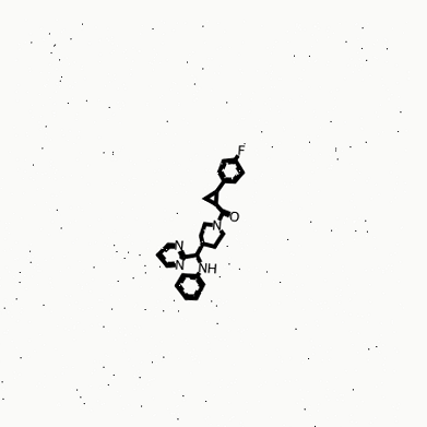 O=C(C1CC1c1ccc(F)cc1)N1CCC(C(Nc2ccccc2)c2ncccn2)CC1